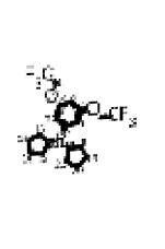 FC(F)(F)COc1cc(OCC(F)(F)F)cc(P(C2CCCC2)C2CCCC2)c1